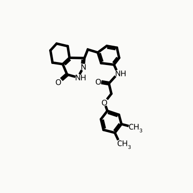 Cc1ccc(OCC(=O)Nc2cccc(Cc3n[nH]c(=O)c4c3CCCC4)c2)cc1C